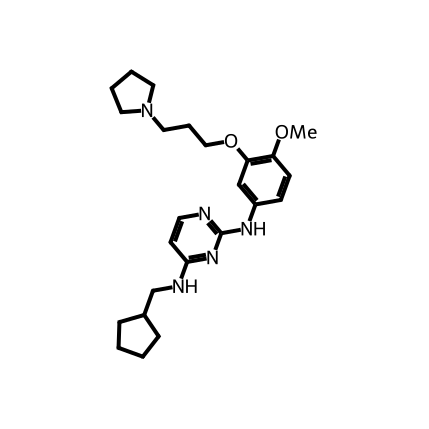 COc1ccc(Nc2nccc(NCC3CCCC3)n2)cc1OCCCN1CCCC1